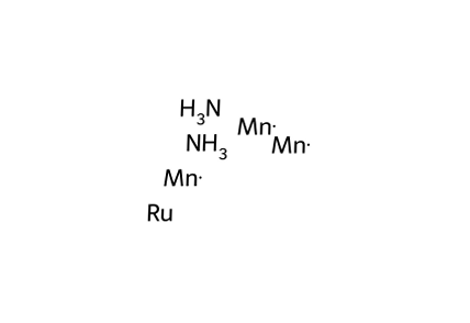 N.N.[Mn].[Mn].[Mn].[Ru]